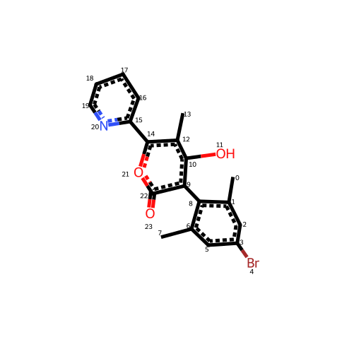 Cc1cc(Br)cc(C)c1-c1c(O)c(C)c(-c2ccccn2)oc1=O